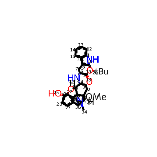 CO[C@@]12CC[C@@H](N[C@@H](Cc3c[nH]c4ccccc34)C(=O)OC(C)(C)C)[C@@H]3Oc4c(O)ccc5c4[C@@]31CCN(C)[C@@H]2C5